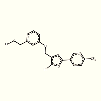 CCSCc1cccc(OCc2cc(-c3ccc(C(F)(F)F)cc3)oc2CC)c1